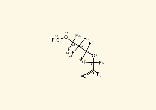 O=C(F)C(F)(F)OC(F)(F)C(F)(F)C(F)(F)OC(F)(F)F